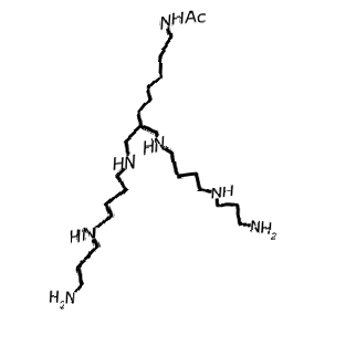 CC(=O)NCCCCCCC(CNCCCCNCCCN)CNCCCCNCCCN